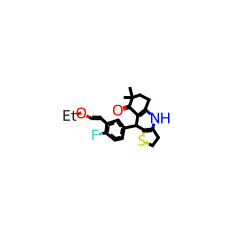 CCOC=Cc1cc(C2C3=C(CCS3)NC3=C2C(=O)C(C)(C)CC3)ccc1F